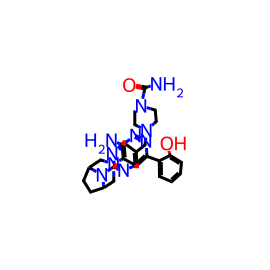 NC(=O)N1CCN(Cc2cnc(N3C4CCC3CN(c3cc(-c5ccccc5O)nnc3N)C4)nc2)CC1